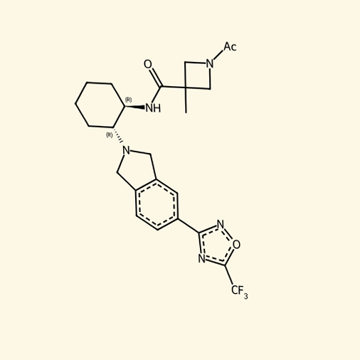 CC(=O)N1CC(C)(C(=O)N[C@@H]2CCCC[C@H]2N2Cc3ccc(-c4noc(C(F)(F)F)n4)cc3C2)C1